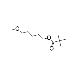 COCCCCCOC(=O)C(C)(C)C